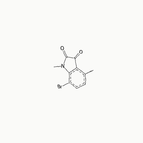 Cc1ccc(Br)c2c1C(=O)C(=O)N2C